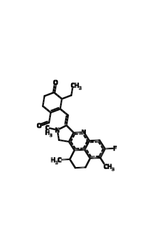 CCC1C(=O)CCC(C=O)=C1/C=C1/c2nc3cc(F)c(C)c4c3c(c2CN1C)C(C)CC4